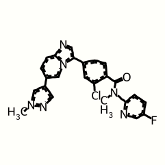 CN(C(=O)c1ccc(-c2cnc3ccc(-c4cnn(C)c4)cn23)cc1Cl)c1ccc(F)cn1